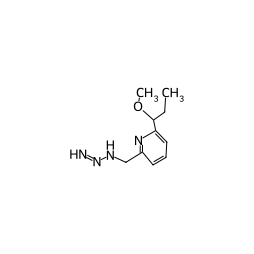 CCC(OC)c1cccc(CNN=N)n1